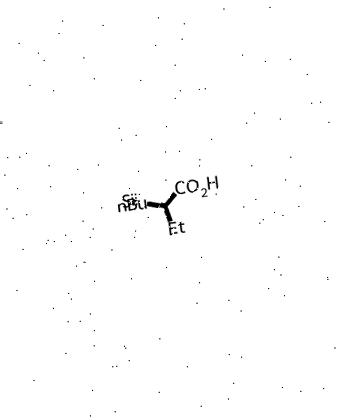 CCCCC(CC)C(=O)O.[Si]